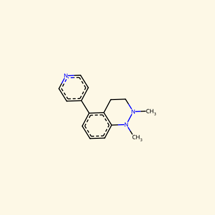 CN1CCc2c(-c3ccncc3)cccc2N1C